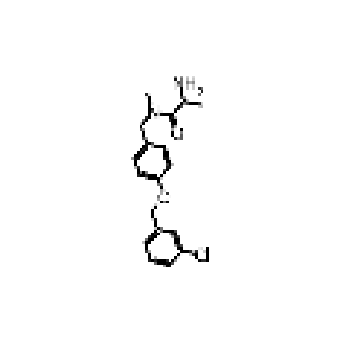 CC(N)C(=O)N(C)Cc1ccc(OCc2cccc(Cl)c2)cc1